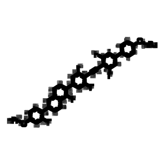 CCCCOc1ccc(-c2cc(F)c(C#Cc3c(C)cc(-c4ccc5cc(-c6ccc(OCCC)cc6F)ccc5c4F)cc3F)c(F)c2)cc1